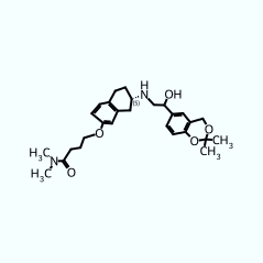 CN(C)C(=O)CCCOc1ccc2c(c1)C[C@@H](NCC(O)c1ccc3c(c1)COC(C)(C)O3)CC2